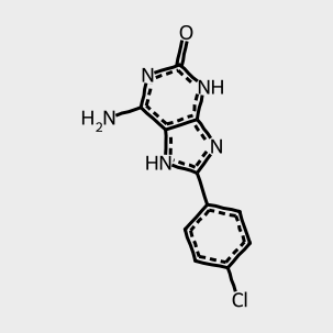 Nc1nc(=O)[nH]c2nc(-c3ccc(Cl)cc3)[nH]c12